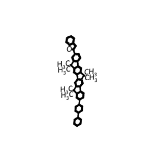 CC1(C)c2cc(-c3ccc(-c4ccccc4)cc3)ccc2-c2cc3c(cc21)-c1cc2c(cc1C3(C)C)-c1ccc(-c3cc4ccccc4o3)cc1C2(C)C